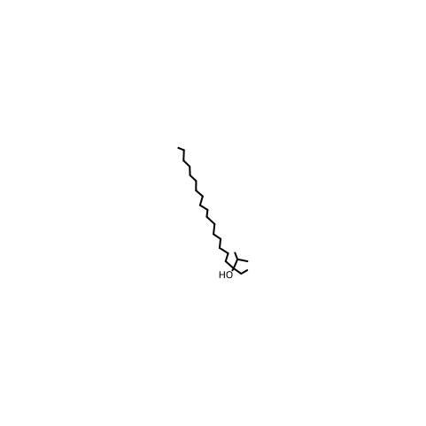 CCCCCCCCCCCCCCCCCC(O)(CC)C(C)C